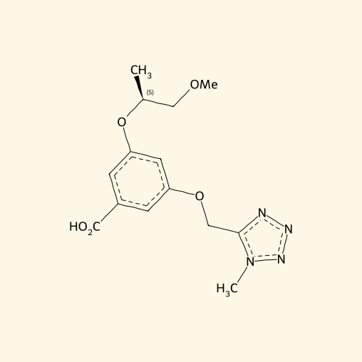 COC[C@H](C)Oc1cc(OCc2nnnn2C)cc(C(=O)O)c1